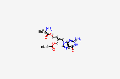 CCCCCCCCCC(=O)OC[C@H](CCOC(=O)[C@@H](N)C(C)CC)Cn1cnc2c(=O)[nH]c(N)nc21